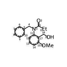 CCC(=O)N(Cc1ccccc1)c1cccc(OC)c1CO